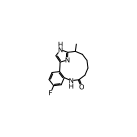 CC1CCCCC(=O)Nc2cc(F)ccc2-c2c[nH]c1n2